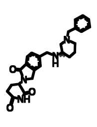 O=C1CCC(N2Cc3cc(CN[C@@H]4CCCN(Cc5ccccc5)C4)ccc3C2=O)C(=O)N1